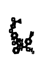 CC(CN[C@H](C(=O)Nc1ccc(OC2CN(C(=O)C3CC3)C2)cn1)c1ccccc1)c1ccc(C#N)cc1